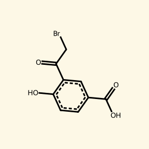 O=C(O)c1ccc(O)c(C(=O)CBr)c1